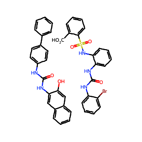 O=C(Nc1ccc(-c2ccccc2)cc1)Nc1cc2ccccc2cc1O.O=C(Nc1ccccc1Br)Nc1ccccc1NS(=O)(=O)c1ccccc1C(=O)O